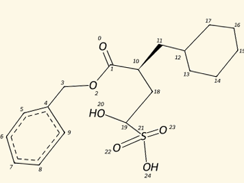 O=C(OCc1ccccc1)[C@@H](CC1CCCCC1)CC(O)S(=O)(=O)O